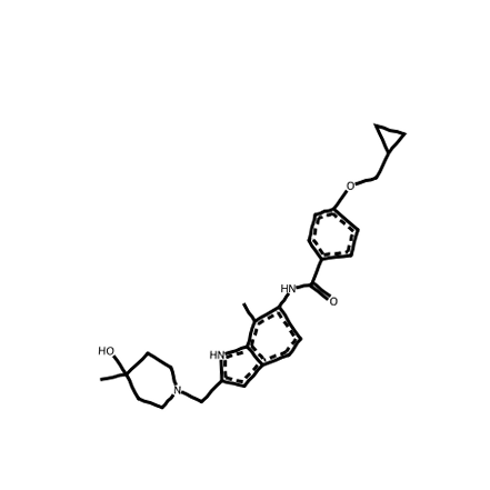 Cc1c(NC(=O)c2ccc(OCC3CC3)cc2)ccc2cc(CN3CCC(C)(O)CC3)[nH]c12